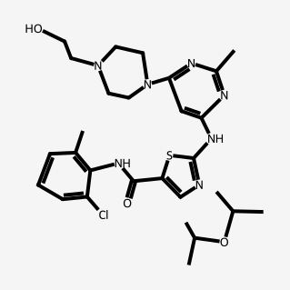 CC(C)OC(C)C.Cc1nc(Nc2ncc(C(=O)Nc3c(C)cccc3Cl)s2)cc(N2CCN(CCO)CC2)n1